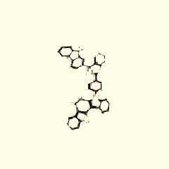 CC1(C)c2ccccc2-c2ccc(-c3nc(-c4ccc(-n5c6c(c7ccccc75)-c5oc7ccccc7c5CC6)cc4)nc4c3=CCCC=4)cc21